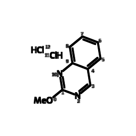 COc1ncc2ccccc2n1.Cl.Cl